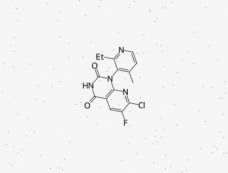 CCc1nccc(C)c1-n1c(=O)[nH]c(=O)c2cc(F)c(Cl)nc21